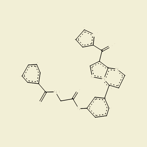 O=C(CNC(=O)c1ccccc1)Nc1cccc(-c2ccnc3c(C(=O)c4cccs4)cnn23)c1